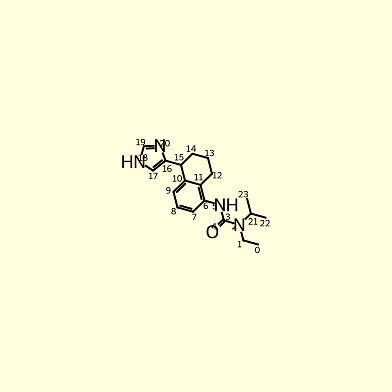 CCN(C(=O)Nc1cccc2c1CCCC2c1c[nH]cn1)C(C)C